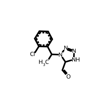 CC(c1ccccc1Cl)N1N=NNC1C=O